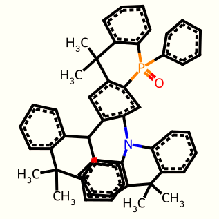 CC1(C)c2ccccc2C(c2cc3c(cc2N2c4ccccc4C(C)(C)c4ccccc42)P(=O)(c2ccccc2)c2ccccc2C3(C)C)c2ccccc21